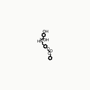 C[C@H](NCCc1ccc(OCC(=O)OCc2ccccc2)cc1)[C@H](O)c1ccc(O)cc1